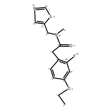 CCOc1ccc(CC(=O)N(C)Cc2cncs2)c(F)c1